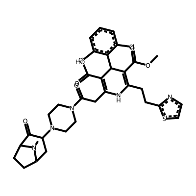 COC(=O)C1=C(CCc2nccs2)NC(CC(=O)N2CCN(C3CC4CCC(C3=O)N4C)CC2)=C(C(=O)O)C1c1c(Cl)cccc1Cl